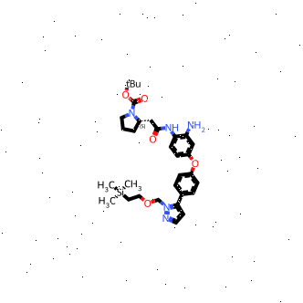 CC(C)(C)OC(=O)N1CCC[C@H]1CC(=O)Nc1ccc(Oc2ccc(-c3ccnn3COCC[Si](C)(C)C)cc2)cc1N